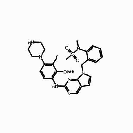 COc1c(Nc2ncc3ccn(Cc4ccccc4N(C)S(C)(=O)=O)c3n2)ccc(N2CCNCC2)c1F